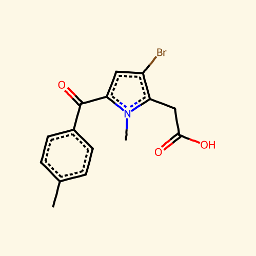 Cc1ccc(C(=O)c2cc(Br)c(CC(=O)O)n2C)cc1